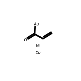 C=C[C](=O)[Au].[Cu].[Ni]